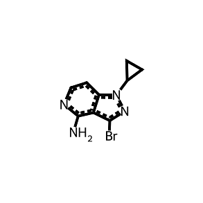 Nc1nccc2c1c(Br)nn2C1CC1